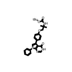 CC(C)(COc1ccc(-c2cn(-c3ccccc3)c3nc[nH]c(=O)c23)cc1)NC(=O)OC(C)(C)C